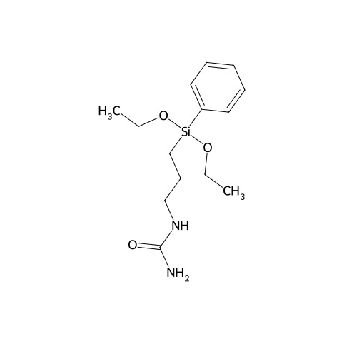 CCO[Si](CCCNC(N)=O)(OCC)c1ccccc1